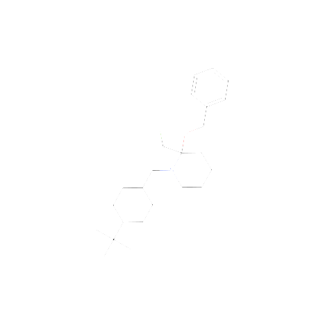 CC(C)(C)C1CCC(CN2CCCCC2(CF)OCc2ccccc2)CC1